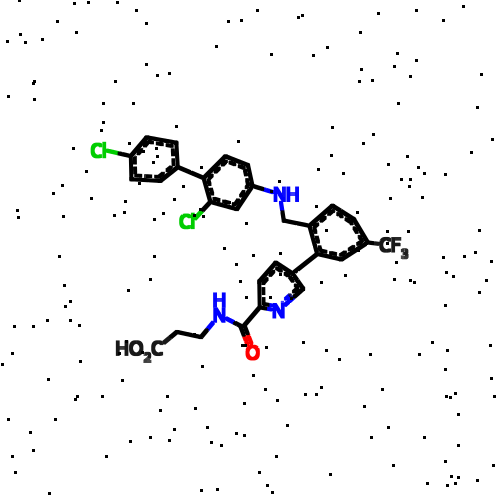 O=C(O)CCNC(=O)c1ccc(-c2cc(C(F)(F)F)ccc2CNc2ccc(-c3ccc(Cl)cc3)c(Cl)c2)cn1